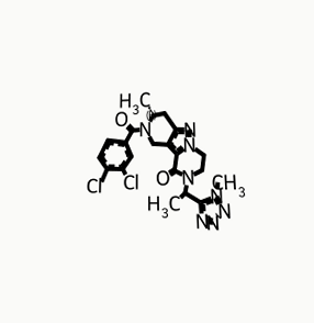 CC(c1nnnn1C)N1CCn2nc3c(c2C1=O)CN(C(=O)c1ccc(Cl)c(Cl)c1)[C@H](C)C3